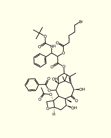 CC(=O)O[C@@]12CO[C@@H]1C[C@H](O)[C@@]1(C)C(=O)[C@H](O)C3=C(C)C(OC(=O)C(OC(=O)CCCCBr)C(NC(=O)OC(C)(C)C)c4ccccc4)C[C@@](O)(C(OC(=O)c4ccccc4)C12)C3(C)C